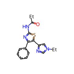 CCC(=O)Nc1nc(-c2ccccc2)c(-c2cn(CC)cn2)s1